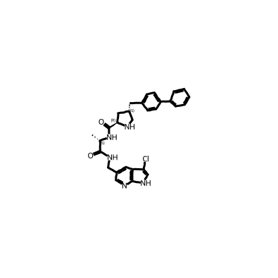 C[C@H](NC(=O)[C@H]1C[C@H](Cc2ccc(-c3ccccc3)cc2)CN1)C(=O)NCc1cnc2[nH]cc(Cl)c2c1